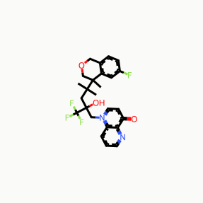 CC(C)(CC(O)(Cn1ccc(=O)c2ncccc21)C(F)(F)F)C1(C)COCc2ccc(F)cc21